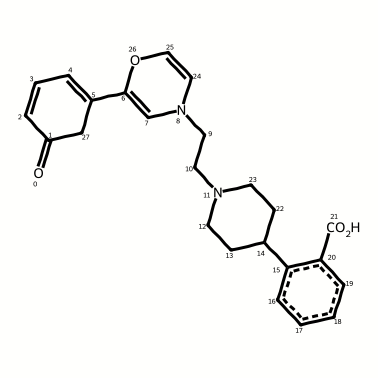 O=C1C=CC=C(C2=CN(CCN3CCC(c4ccccc4C(=O)O)CC3)C=CO2)C1